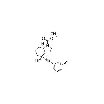 COC(=O)N1CC[C@@H]2[C@H]1CCC[C@@]2(O)C#Cc1cccc(Cl)c1